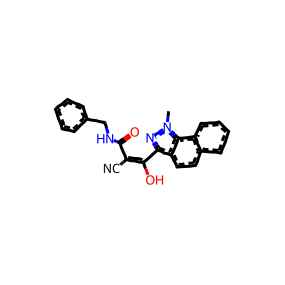 Cn1nc(/C(O)=C(/C#N)C(=O)NCc2ccccc2)c2ccc3ccccc3c21